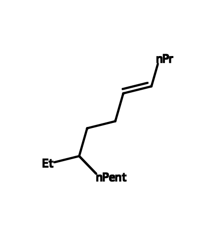 [CH2]CCC=CCCC(CC)CCCC[CH2]